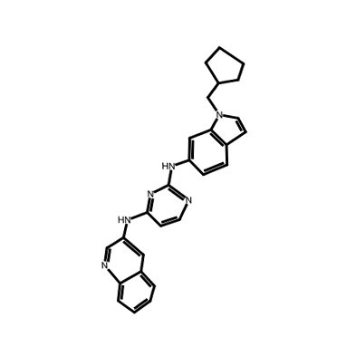 c1ccc2ncc(Nc3ccnc(Nc4ccc5ccn(CC6CCCC6)c5c4)n3)cc2c1